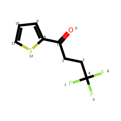 O=C(CCC(F)(F)F)c1cccs1